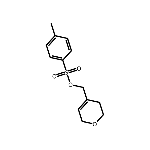 Cc1ccc(S(=O)(=O)OCC2=CCOCC2)cc1